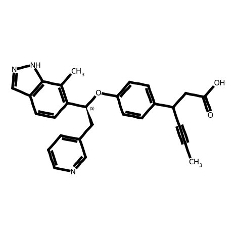 CC#CC(CC(=O)O)c1ccc(O[C@@H](Cc2cccnc2)c2ccc3cn[nH]c3c2C)cc1